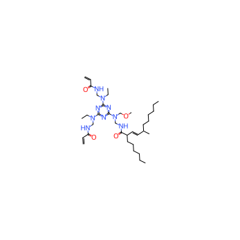 C=CC(=O)NCN(CC)c1nc(N(CC)CNC(=O)C=C)nc(N(CNC(=O)C(C=CC(C)CCCCCC)CCCCCC)COC)n1